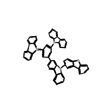 c1ccc2c(c1)sc1ccc(-n3c4ccccc4c4ccc(-c5cc(-n6c7ccccc7c7ccccc76)cc(-n6c7ccccc7c7ccccc76)c5)cc43)cc12